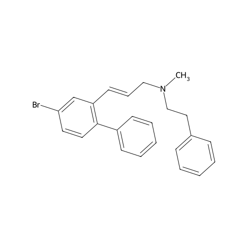 CN(CC=Cc1cc(Br)ccc1-c1ccccc1)CCc1ccccc1